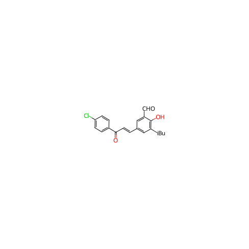 CCC(C)c1cc(/C=C/C(=O)c2ccc(Cl)cc2)cc(C=O)c1O